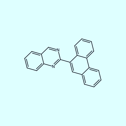 c1ccc2nc(-c3cc4ccccc4c4ccccc34)ncc2c1